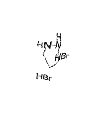 Br.Br.C1CNNC1